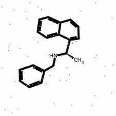 C[C@@H](NCc1ccccc1)c1cccc2ccccc12